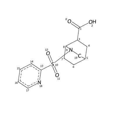 O=C(O)C1CC2CCC1N(S(=O)(=O)c1ccccn1)C2